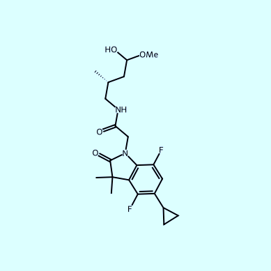 COC(O)C[C@@H](C)CNC(=O)CN1C(=O)C(C)(C)c2c(F)c(C3CC3)cc(F)c21